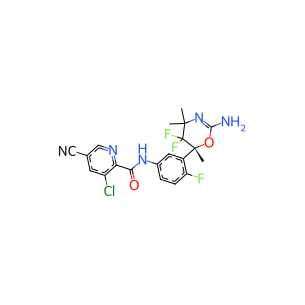 CC1(C)N=C(N)O[C@](C)(c2cc(NC(=O)c3ncc(C#N)cc3Cl)ccc2F)C1(F)F